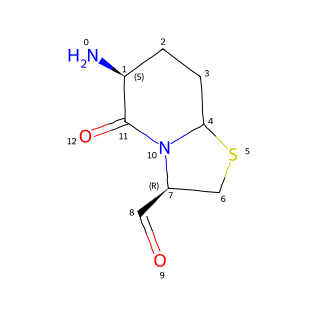 N[C@H]1CCC2SC[C@@H](C=O)N2C1=O